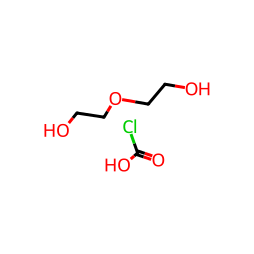 O=C(O)Cl.OCCOCCO